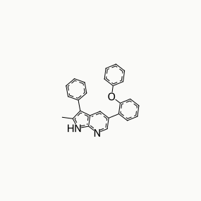 Cc1[nH]c2ncc(-c3ccccc3Oc3ccccc3)cc2c1-c1ccccc1